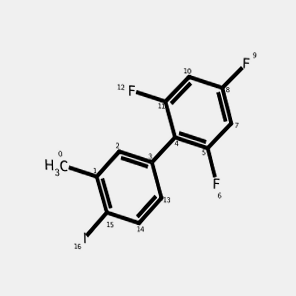 Cc1cc(-c2c(F)cc(F)cc2F)ccc1I